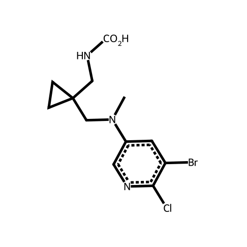 CN(CC1(CNC(=O)O)CC1)c1cnc(Cl)c(Br)c1